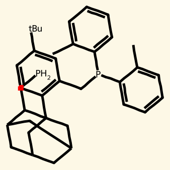 Cc1ccccc1P(Cc1cc(C(C)(C)C)ccc1C12CC3CC(CC(C3)C1CP)C2)c1ccccc1C